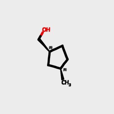 C[C@@H]1CC[C@H](CO)C1